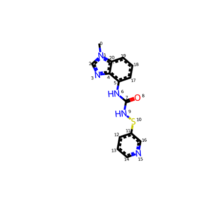 Cn1cnc2c(NC(=O)NSc3cccnc3)cccc21